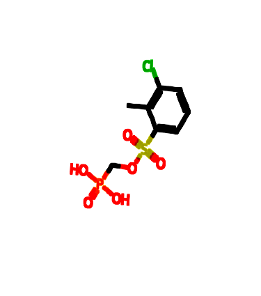 Cc1c(Cl)cccc1S(=O)(=O)OCP(=O)(O)O